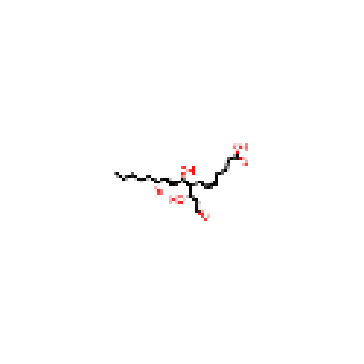 CCCCC[C@H](O)/C=C/[C@@H](O)[C@@H](C/C=C\CCCC(=O)O)[C@@H](O)CC=O